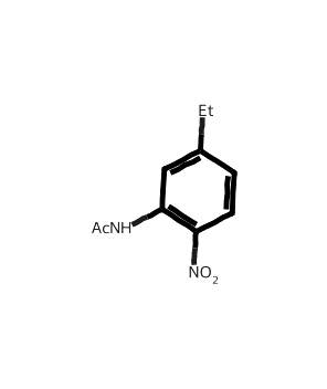 CCc1ccc([N+](=O)[O-])c(NC(C)=O)c1